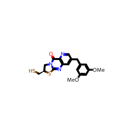 COc1cc(Cc2cnc3c(=O)n4c(nc3c2)S[C@@H](CS)C4)cc(OC)c1